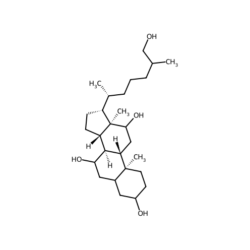 CC(CO)CCC[C@@H](C)[C@H]1CC[C@H]2[C@@H]3C(O)CC4CC(O)CC[C@]4(C)[C@H]3CC(O)[C@]12C